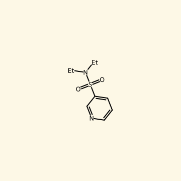 CCN(CC)S(=O)(=O)c1cccnc1